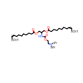 CCCCCCCC/C=C\CCCCCCCC(=O)OCC(COC(=O)CCCCCCC/C=C\CCCCCCCC)NC(=O)OCCN(CCC)CCC